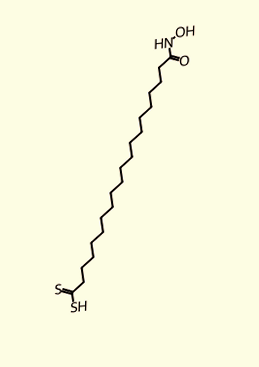 O=C(CCCCCCCCCCCCCCCCCCC(=S)S)NO